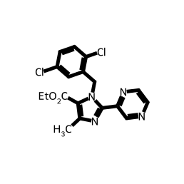 CCOC(=O)c1c(C)nc(-c2cnccn2)n1Cc1cc(Cl)ccc1Cl